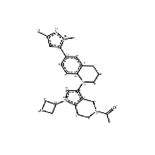 CC(=O)N1CCc2c(c(N3CCCc4cc(-c5cc(C)nn5C)ccc43)nn2C2COC2)C1